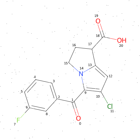 O=C(c1cccc(F)c1)c1c(Cl)cc2n1CCC2C(=O)O